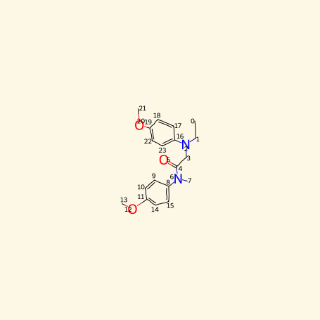 CCN(CC(=O)N(C)c1ccc(OC)cc1)c1ccc(OC)cc1